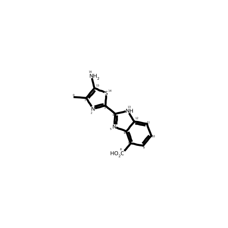 Cc1nc(-c2nc3c(C(=O)O)cccc3[nH]2)sc1N